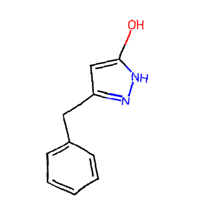 Oc1cc(Cc2ccccc2)n[nH]1